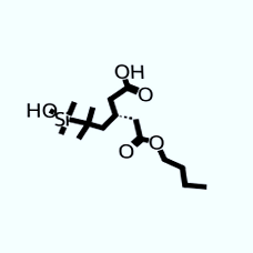 CCCCOC(=O)C[C@@H](CC(=O)O)CC(C)(C)[Si](C)(C)O